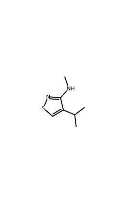 CNc1nscc1C(C)C